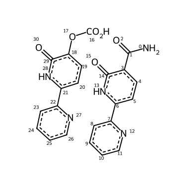 NC(=O)c1ccc(-c2ccccn2)[nH]c1=O.O=C(O)Oc1ccc(-c2ccccn2)[nH]c1=O